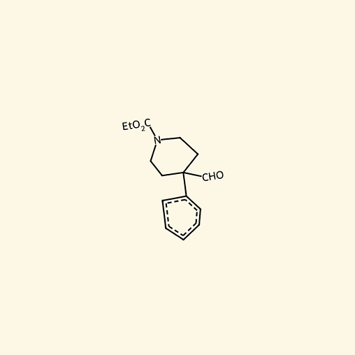 CCOC(=O)N1CCC(C=O)(c2ccccc2)CC1